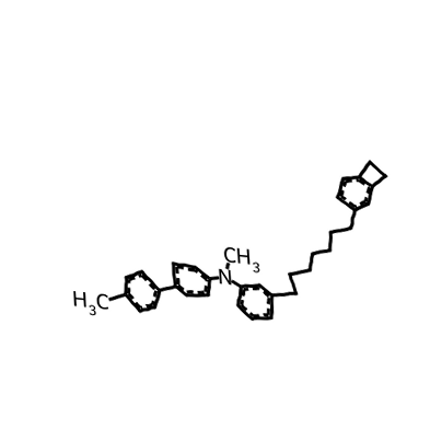 Cc1ccc(-c2ccc(N(C)c3cccc(CCCCCCCc4ccc5c(c4)CC5)c3)cc2)cc1